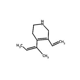 C=CC1=C(/C(C)=C\C)CCNC1